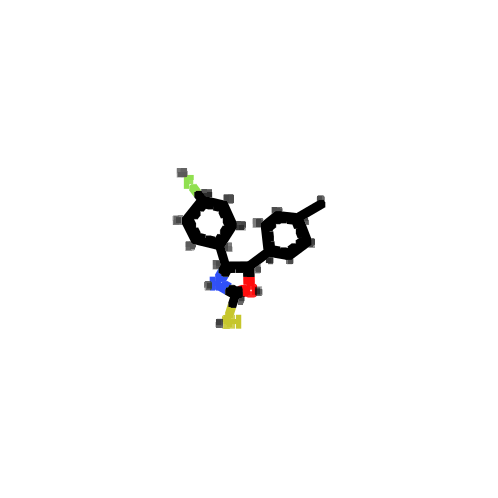 Cc1ccc(-c2oc(S)nc2-c2ccc(F)cc2)cc1